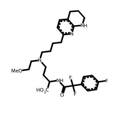 COCCN(CCCCc1ccc2c(n1)NCCC2)CCC(NC(=O)C(F)(F)c1ccc(F)cc1)C(=O)O